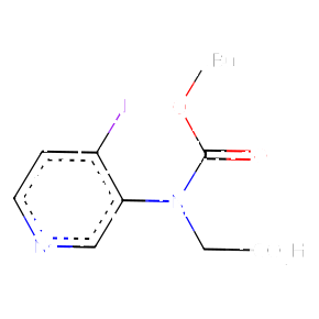 CC(C)(C)OC(=O)N(CC(=O)O)c1cnccc1I